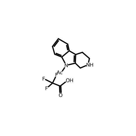 CC(=O)n1c2c(c3ccccc31)CCNC2.O=C(O)C(F)(F)F